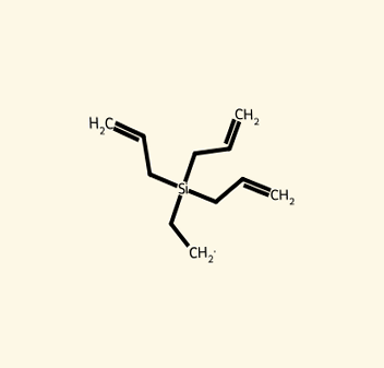 [CH2]C[Si](CC=C)(CC=C)CC=C